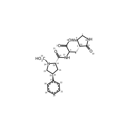 COC(=O)C(C[C@@H]1CCNC1=O)NC(=O)[C@@H]1C[C@@H](c2ccccc2)CN1C(=O)O